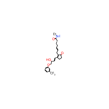 CCNC(=O)CCCC=CCC1=C(C=CC(O)COc2cccc(C(F)(F)F)c2)CCC1=O